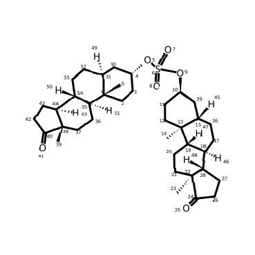 C[C@]12CC[C@@H](OS(=O)(=O)O[C@@H]3CC[C@@]4(C)[C@@H](CC[C@@H]5[C@@H]4CC[C@]4(C)C(=O)CC[C@@H]54)C3)C[C@@H]1CC[C@@H]1[C@@H]2CC[C@]2(C)C(=O)CC[C@@H]12